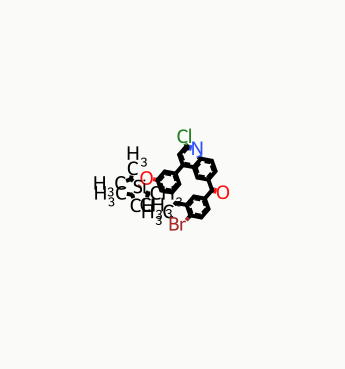 CCc1cc(C(=O)c2ccc3nc(Cl)cc(-c4cccc(O[Si](C(C)C)(C(C)C)C(C)C)c4)c3c2)ccc1Br